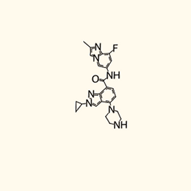 Cc1cn2cc(NC(=O)c3ccc(N4CCNCC4)c4cn(C5CC5)nc34)cc(F)c2n1